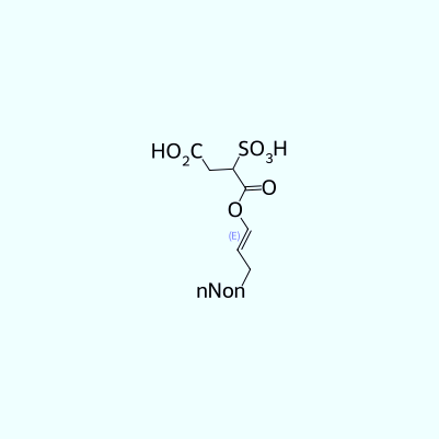 CCCCCCCCCC/C=C/OC(=O)C(CC(=O)O)S(=O)(=O)O